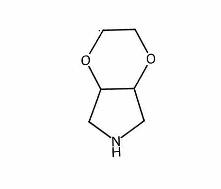 [CH]1COC2CNCC2O1